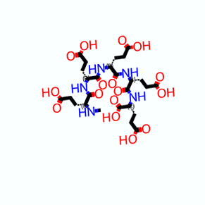 CN[C@H](CCC(=O)O)C(=O)N[C@H](CCC(=O)O)C(=O)N[C@H](CCC(=O)O)C(=O)N[C@H](CCC(=O)O)C(=O)N[C@H](CCC(=O)O)C(=O)O